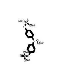 CC(=O)[O-].COP(=S)(OC)Oc1ccc(Sc2ccc(OP(=S)(OC)OC)cc2)cc1.[Na+]